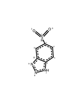 O=[SH](=O)c1ccc2[nH]nnc2c1